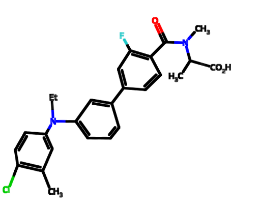 CCN(c1cccc(-c2ccc(C(=O)N(C)C(C)C(=O)O)c(F)c2)c1)c1ccc(Cl)c(C)c1